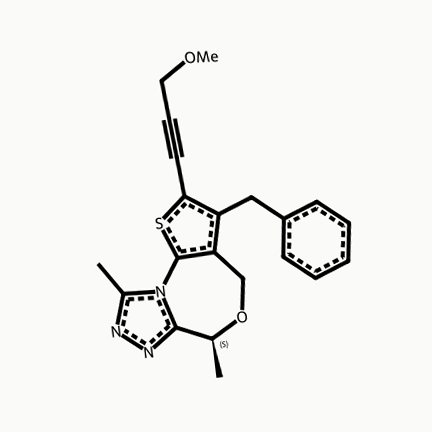 COCC#Cc1sc2c(c1Cc1ccccc1)CO[C@@H](C)c1nnc(C)n1-2